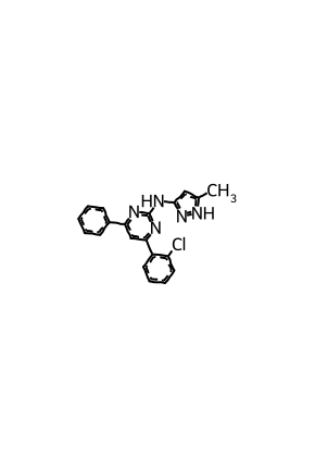 Cc1cc(Nc2nc(-c3ccccc3)cc(-c3ccccc3Cl)n2)n[nH]1